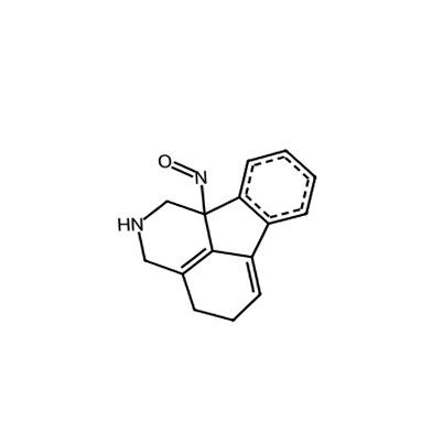 O=NC12CNCC3=C1C(=CCC3)c1ccccc12